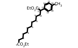 CCOC(=O)CCCCCCCCCCC(C(=O)OCC)c1ccc(C)cc1